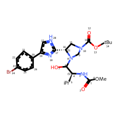 COC(=O)N[C@@H](C(C)C)C(O)N1CN(C(=O)OC(C)(C)C)C[C@H]1c1nc(-c2ccc(Br)cc2)c[nH]1